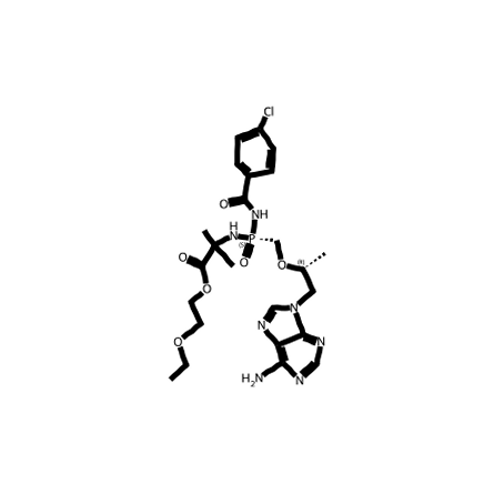 CCOCCOC(=O)C(C)(C)N[P@@](=O)(CO[C@H](C)Cn1cnc2c(N)ncnc21)NC(=O)c1ccc(Cl)cc1